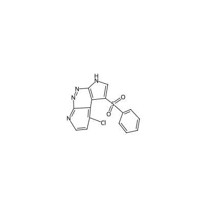 O=S(=O)(c1ccccc1)c1c[nH]c2nnc3nccc(Cl)c3c12